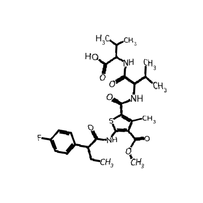 CCC(C(=O)Nc1sc(C(=O)NC(C(=O)NC(C(=O)O)C(C)C)C(C)C)c(C)c1C(=O)OC)c1ccc(F)cc1